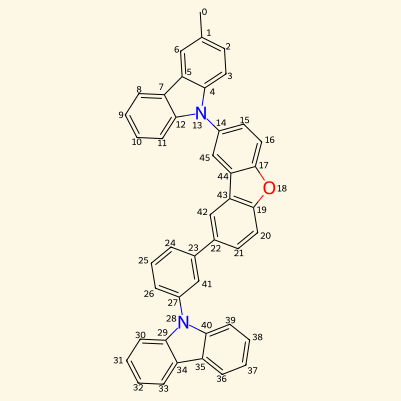 Cc1ccc2c(c1)c1ccccc1n2-c1ccc2oc3ccc(-c4cccc(-n5c6ccccc6c6ccccc65)c4)cc3c2c1